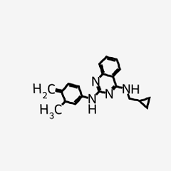 C=C1C=CC(Nc2nc(NCC3CC3)c3ccccc3n2)=CC1C